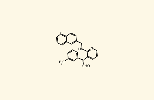 O=CN(c1cccc(C(F)(F)F)c1)c1cccnc1NCc1ccc2ncccc2c1